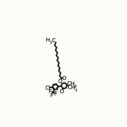 CCCCCCCCCCCCCCCC(=O)OC1CC(C)(C)CC(=O)C1c1ccc(Cl)c(C(F)(F)F)c1